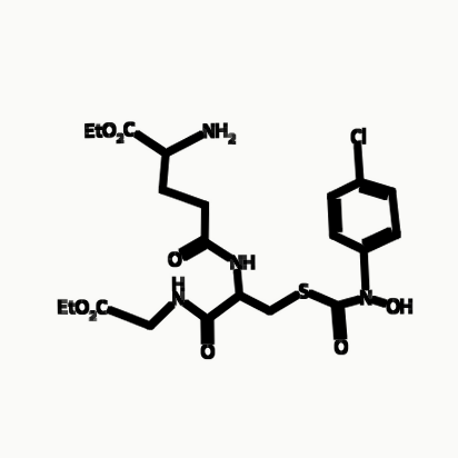 CCOC(=O)CNC(=O)C(CSC(=O)N(O)c1ccc(Cl)cc1)NC(=O)CCC(N)C(=O)OCC